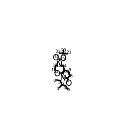 CCC(C)C(C)Oc1ccc2c(n1)OCCN(C(=O)OC(C)(C)C)C2